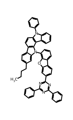 CCCCc1ccc2c3ccc4c(c5ccccc5n4-c4ccccc4)c3n(-c3cccc4c3oc3cc(-c5nc(-c6ccccc6)nc(-c6ccccc6)n5)ccc34)c2c1